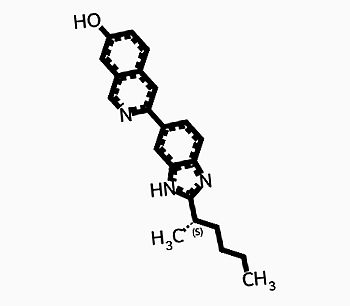 CCCC[C@H](C)c1nc2ccc(-c3cc4ccc(O)cc4cn3)cc2[nH]1